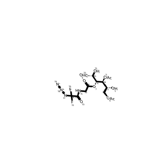 CC(=O)OC[C@@H](O)[C@H](OC(C)=O)[C@H](OC(=O)CNC(=O)C(F)(F)N=[N+]=[N-])[C@@H](O)C=O